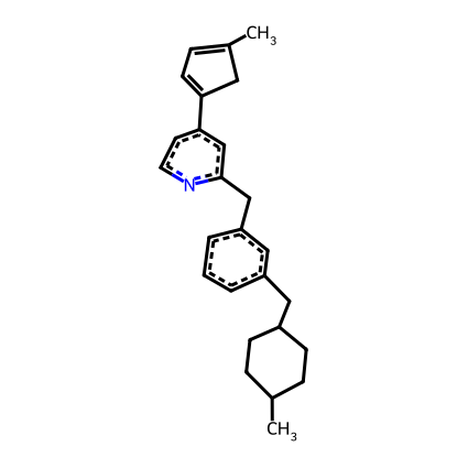 CC1=CC=C(c2ccnc(Cc3cccc(CC4CCC(C)CC4)c3)c2)C1